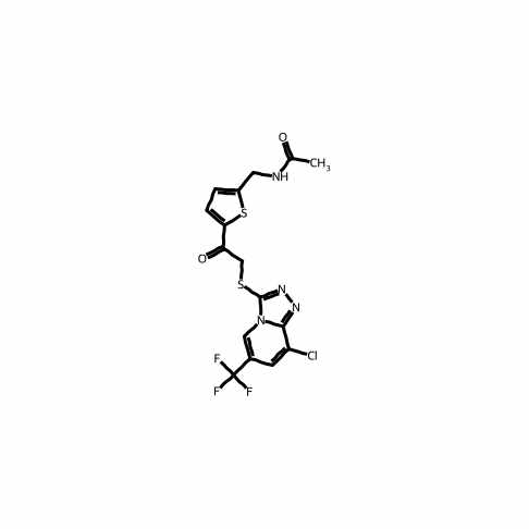 CC(=O)NCc1ccc(C(=O)CSc2nnc3c(Cl)cc(C(F)(F)F)cn23)s1